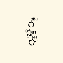 Cc1ccccc1NC(=S)NC(=O)c1ccc(C(C)(C)C)cc1